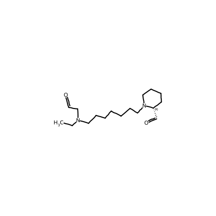 CCN(CC=O)CCCCCCCN1CCCC[C@@H]1C=O